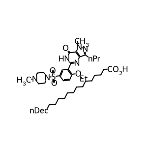 CCCCCCCCCCCCCCCCCCCCCCCC(=O)O.CCCc1nn(C)c2c(=O)[nH]c(-c3cc(S(=O)(=O)N4CCN(C)CC4)ccc3OCC)nc12